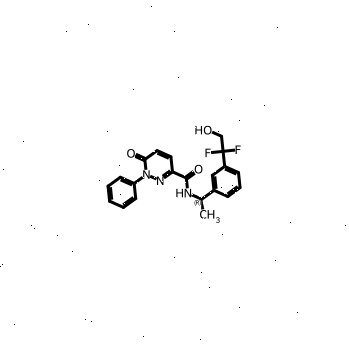 C[C@@H](NC(=O)c1ccc(=O)n(-c2ccccc2)n1)c1cccc(C(F)(F)CO)c1